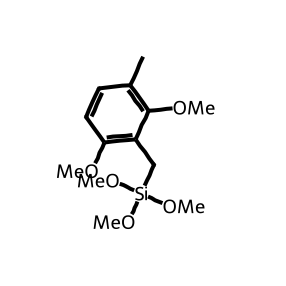 COc1ccc(C)c(OC)c1C[Si](OC)(OC)OC